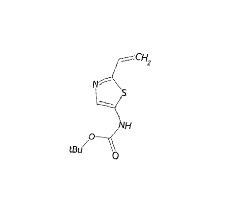 C=Cc1ncc(NC(=O)OC(C)(C)C)s1